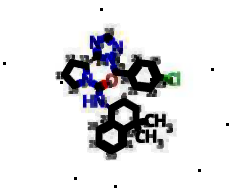 CC1(C)CC[C@@H](NC(=O)N2CCC[C@@H]2c2ncnn2Cc2ccc(Cl)cc2)c2ccccc21